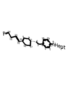 CCCCCCCc1ccc(CC[C@H]2CC[C@H](C=CCCF)CC2)cc1